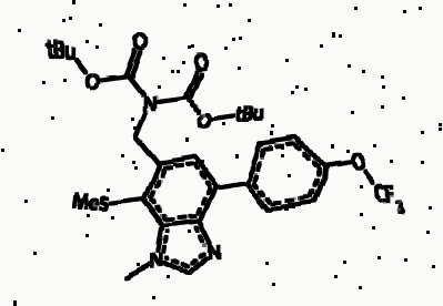 CSc1c(CN(C(=O)OC(C)(C)C)C(=O)OC(C)(C)C)cc(-c2ccc(OC(F)(F)F)cc2)c2ncn(C)c12